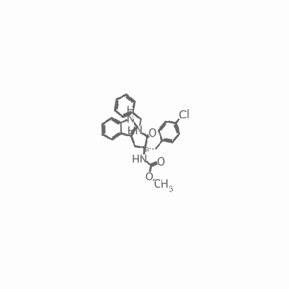 COC(=O)N[C@@](Cc1ccc(Cl)cc1)(Cc1c[nH]c2ccccc12)C(=O)NCc1ccccc1